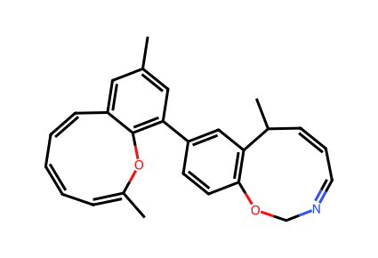 Cc1cc(-c2ccc3c(c2)C(C)/C=C\C=N/CO3)c2oc(C)cccccc2c1